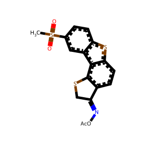 CC(=O)ON=C1CSc2c1ccc1sc3ccc(S(C)(=O)=O)cc3c21